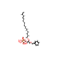 CCCCCCCCCCCCCCCCOC(COCc1ccccc1)COP(=O)(O)O